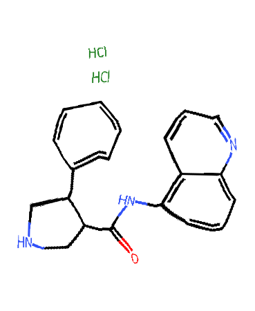 Cl.Cl.O=C(Nc1cccc2ncccc12)C1CNCC1c1ccccc1